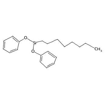 CCCCCCCC[Si](Oc1ccccc1)Oc1ccccc1